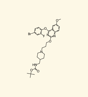 COc1ccc2nc(OCCCN3CCC(CNC(=O)OC(C)(C)C)CC3)nc(Oc3ccc(Br)cc3F)c2c1